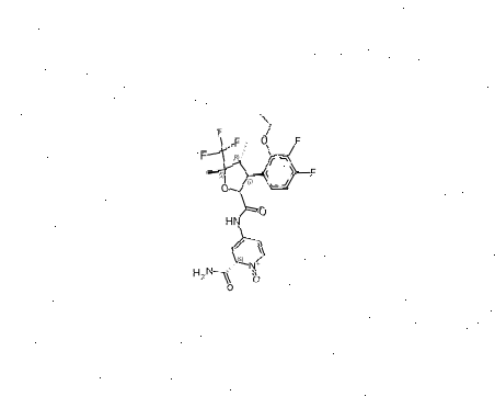 CCOc1c([C@H]2C(C(=O)NC3=C[C@@H](C(N)=O)[N+](=O)C=C3)O[C@](C)(C(F)(F)F)[C@@H]2C)ccc(F)c1F